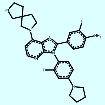 Nc1ccc(-c2nc3c(N4CCC5(CCNC5)C4)ccnc3n2-c2ccc(N3CCCC3)cc2F)cc1F